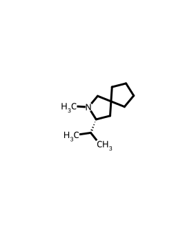 CC(C)[C@H]1CC2(CCCC2)CN1C